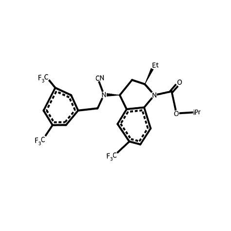 CC[C@@H]1C[C@H](N(C#N)Cc2cc(C(F)(F)F)cc(C(F)(F)F)c2)c2cc(C(F)(F)F)ccc2N1C(=O)OC(C)C